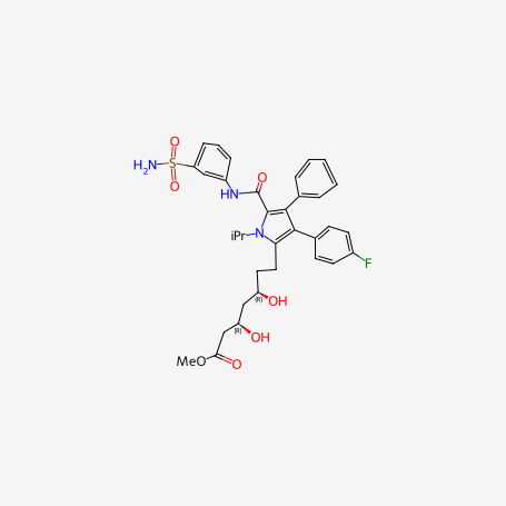 COC(=O)C[C@H](O)C[C@H](O)CCc1c(-c2ccc(F)cc2)c(-c2ccccc2)c(C(=O)Nc2cccc(S(N)(=O)=O)c2)n1C(C)C